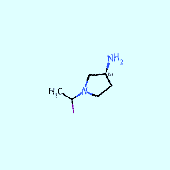 CC(I)N1CC[C@H](N)C1